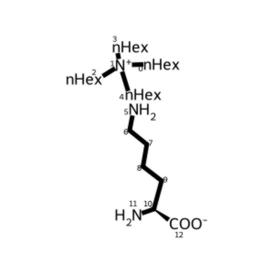 CCCCCC[N+](CCCCCC)(CCCCCC)CCCCCC.NCCCC[C@H](N)C(=O)[O-]